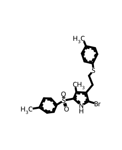 Cc1ccc(SCCc2c(Br)[nH]c(S(=O)(=O)c3ccc(C)cc3)c2C)cc1